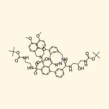 COc1ccc(CN(Cc2ccc(OC)cc2)S(=O)(=O)c2c(S(=O)(=O)NCCNC(=O)OC(C)(C)C)ccc(-c3cccc(C(=O)NC[C@H](O)CNC(=O)OC(C)(C)C)c3)c2C2=Nc3cc(ccc3OC)CN/N=N\2)cc1